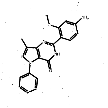 COc1cc(N)ccc1-c1nc2c(C)nn(-c3ccccc3)c2c(=O)[nH]1